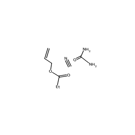 C#N.C=CCOC(=O)CC.NC(N)=O